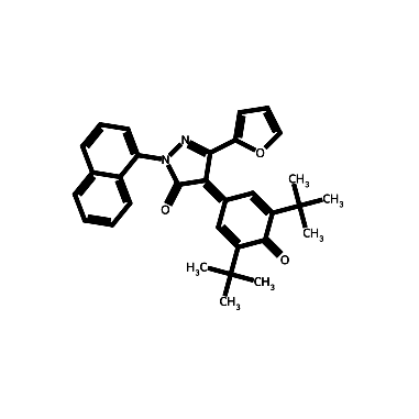 CC(C)(C)C1=CC(=C2C(=O)N(c3cccc4ccccc34)N=C2c2ccco2)C=C(C(C)(C)C)C1=O